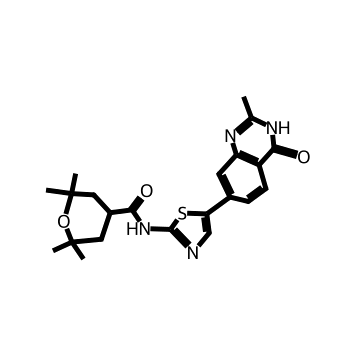 Cc1nc2cc(-c3cnc(NC(=O)C4CC(C)(C)OC(C)(C)C4)s3)ccc2c(=O)[nH]1